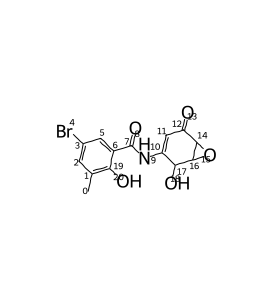 Cc1cc(Br)cc(C(=O)NC2=CC(=O)C3OC3C2O)c1O